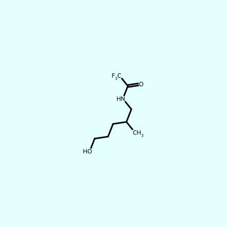 CC(CCCO)CNC(=O)C(F)(F)F